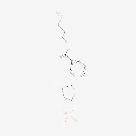 CCCCCOC(=O)c1ccc[n+]([C@@H]2O[C@H](OP(C)(=O)[O-])[C@H](O)[C@@H]2O)c1